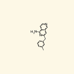 Cc1cccc(Cc2cc3cnccc3c(N)n2)c1